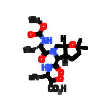 CCCC(NC(=O)[C@@H]1[C@@H]2CCC(C)(C)O[C@@H]2CN1C(=O)[C@@H](NC(=O)OC(C)(C)C)C(C)(C)C)C(=O)C(=O)O